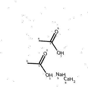 CC(=O)O.CC(=O)O.[CaH2].[NaH]